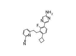 N#Cc1cccc(CCc2c(C3CCC3)ccc(-c3cnc(N)cn3)c2F)n1